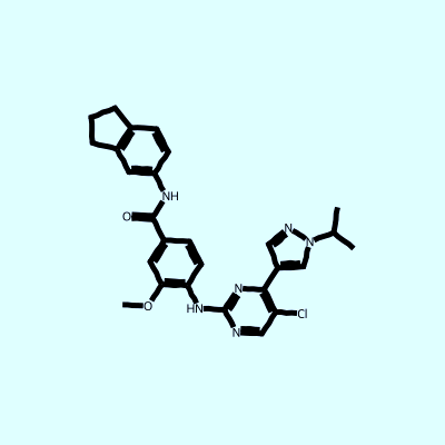 COc1cc(C(=O)Nc2ccc3c(c2)CCC3)ccc1Nc1ncc(Cl)c(-c2cnn(C(C)C)c2)n1